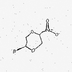 O=[N+]([O-])C1CO[C@@H](Br)CO1